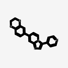 c1cc(-c2cnc3cc(-c4ccc5c(c4)OCCO5)ccn23)ccn1